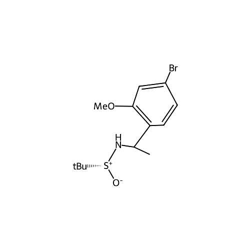 COc1cc(Br)ccc1C(C)N[S@+]([O-])C(C)(C)C